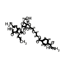 C=CCn1c(=O)n([C@@H]2O[C@H](CO)[C@H]3OC(COCCOC(=O)c4ccc(C(=O)NN)cc4)O[C@H]32)c2nc(N)[nH]c(=O)c21